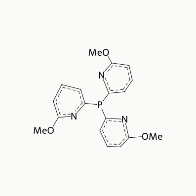 COc1cccc(P(c2cccc(OC)n2)c2cccc(OC)n2)n1